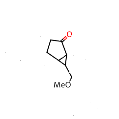 COCC1C2CCC(=O)C21